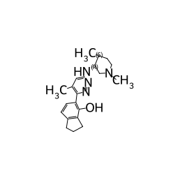 Cc1cc(N[C@H]2CN(C)CC[C@@H]2C)nnc1-c1ccc2c(c1O)CCC2